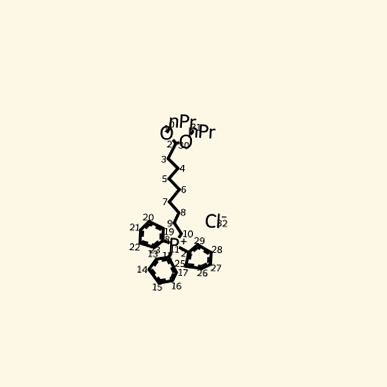 CCCOC(CCCCCCCC[P+](c1ccccc1)(c1ccccc1)c1ccccc1)OCCC.[Cl-]